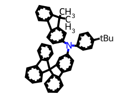 CC(C)(C)c1ccc(N(c2ccc3c(c2)C(C)(C)c2ccccc2-3)c2ccc3c(c2)C2(c4ccccc4-c4ccccc42)c2ccccc2-3)cc1